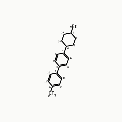 CCC1CCC(c2ccc(-c3ccc(C(F)(F)F)cc3)cc2)CC1